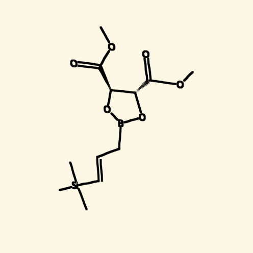 COC(=O)[C@@H]1OB(C/C=C/[Si](C)(C)C)O[C@H]1C(=O)OC